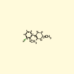 Cc1c(F)cccc1C1=CCC(C)CC1